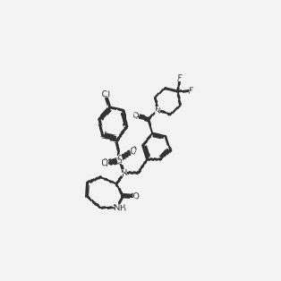 O=C1NCCCCC1N(Cc1cccc(C(=O)N2CCC(F)(F)CC2)c1)S(=O)(=O)c1ccc(Cl)cc1